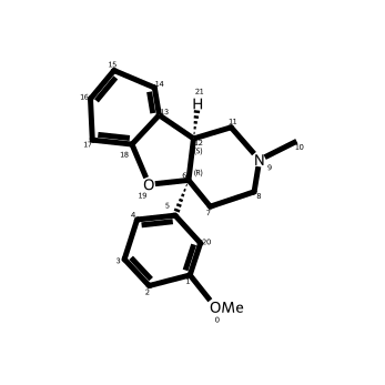 COc1cccc([C@@]23CCN(C)C[C@@H]2c2ccccc2O3)c1